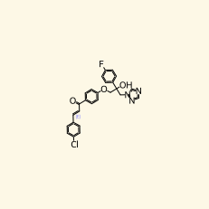 O=C(/C=C/c1ccc(Cl)cc1)c1ccc(OCC(O)(Cn2cncn2)c2ccc(F)cc2)cc1